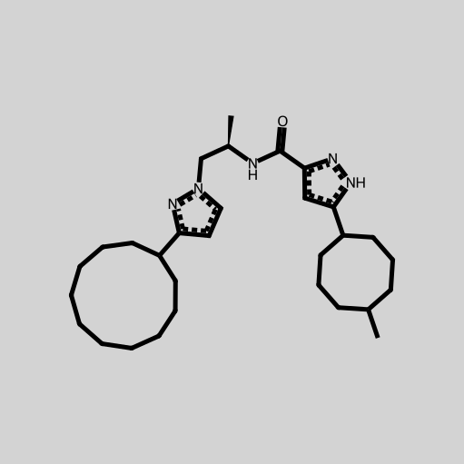 CC1CCCC(c2cc(C(=O)N[C@H](C)Cn3ccc(C4CCCCCCCCCC4)n3)n[nH]2)CCC1